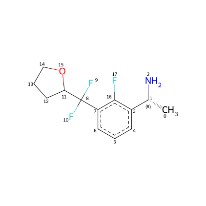 C[C@@H](N)c1cccc(C(F)(F)C2CCCO2)c1F